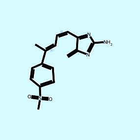 C=C1N=C(N)N=C1/C=C\C=C(/C)c1ccc(S(C)(=O)=O)cc1